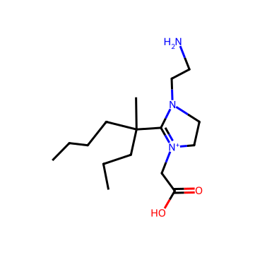 CCCCC(C)(CCC)C1=[N+](CC(=O)O)CCN1CCN